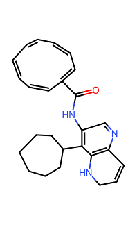 O=C(Nc1cnc2c(c1C1CCCCCC1)NCC=C2)c1ccccccccc1